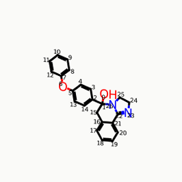 OC1(c2ccc(Oc3ccccc3)cc2)Cc2ccccc2C2=NCCN21